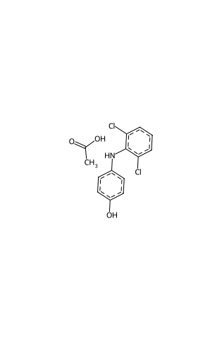 CC(=O)O.Oc1ccc(Nc2c(Cl)cccc2Cl)cc1